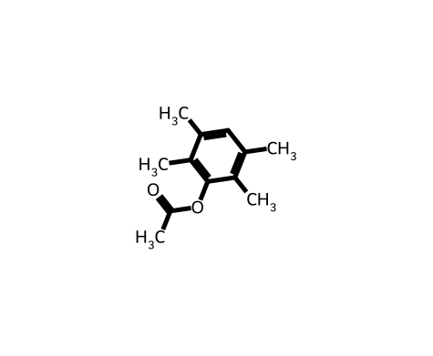 CC(=O)Oc1c(C)c(C)cc(C)c1C